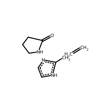 C=C.Cc1ncc[nH]1.O=C1CCCN1